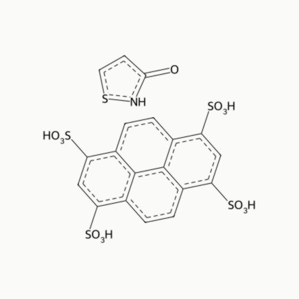 O=S(=O)(O)c1cc(S(=O)(=O)O)c2ccc3c(S(=O)(=O)O)cc(S(=O)(=O)O)c4ccc1c2c43.O=c1ccs[nH]1